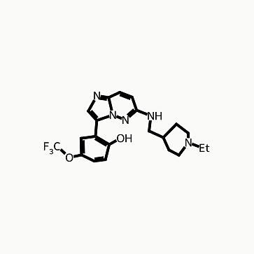 CCN1CCC(CNc2ccc3ncc(-c4cc(OC(F)(F)F)ccc4O)n3n2)CC1